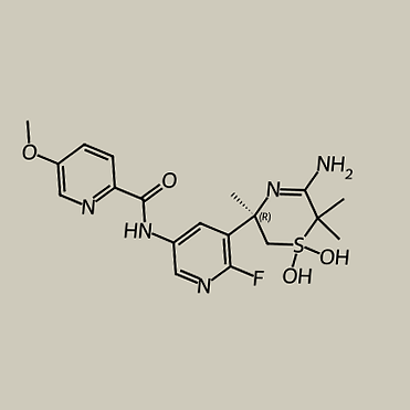 COc1ccc(C(=O)Nc2cnc(F)c([C@]3(C)CS(O)(O)C(C)(C)C(N)=N3)c2)nc1